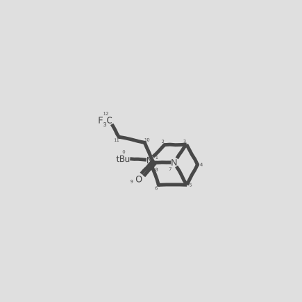 CC(C)(C)N1CC2CC(C1)N2C(=O)CCC(F)(F)F